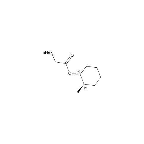 CCCCCCCC(=O)O[C@@H]1CCCC[C@H]1C